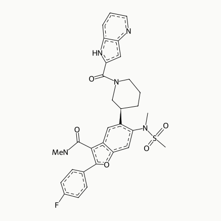 CNC(=O)c1c(-c2ccc(F)cc2)oc2cc(N(C)S(C)(=O)=O)c([C@@H]3CCCN(C(=O)c4cc5ncccc5[nH]4)C3)cc12